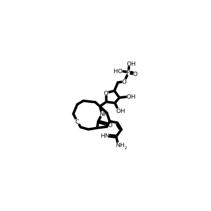 N=C(N)/C=C\C1CC2CCCCCCCC(C3OC(COP(=O)(O)O)C(O)C3O)(C1)NC2=O